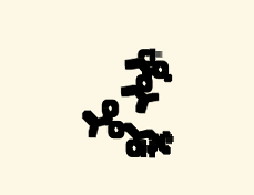 C=C(C)C(=O)OCC(O)C[N+](C)(C)C.C=CC(=C)C.C=CC(=O)OC.[Cl-]